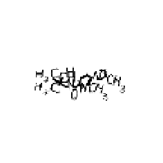 CCC(C)(C)CNC(=O)c1ccc(N2CCC(C)C2)c(C)n1